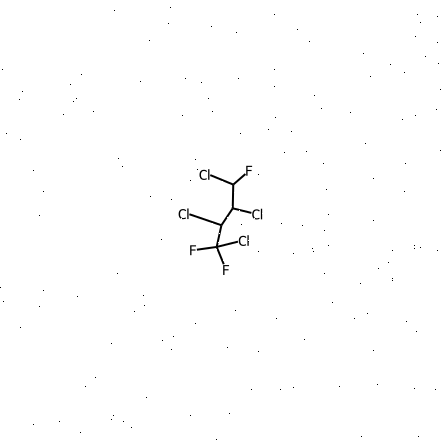 FC(Cl)C(Cl)C(Cl)C(F)(F)Cl